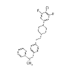 C[C@@H](Cc1ccc(CCC2CCC(c3cc(F)c(Cl)c(F)c3)CC2)cc1)c1ccccc1